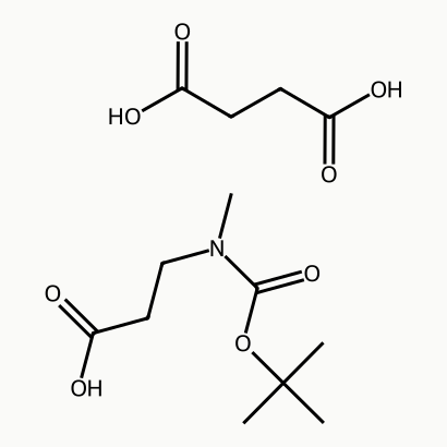 CN(CCC(=O)O)C(=O)OC(C)(C)C.O=C(O)CCC(=O)O